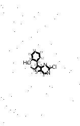 Cc1sc2cnc(Cl)nc2c1-c1ccccc1O